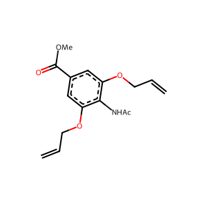 C=CCOc1cc(C(=O)OC)cc(OCC=C)c1NC(C)=O